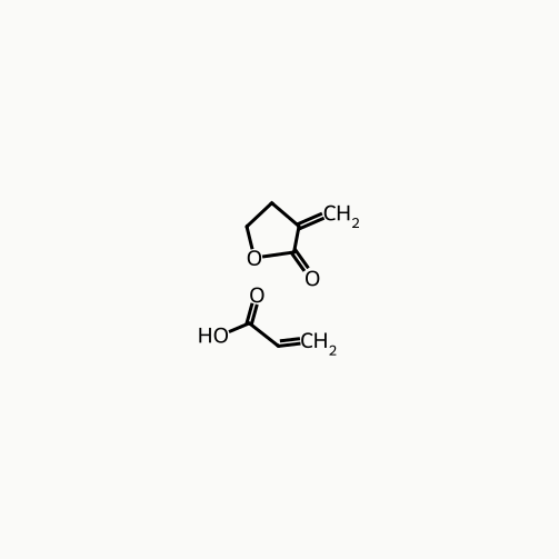 C=C1CCOC1=O.C=CC(=O)O